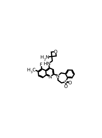 Cc1ccc2nc(N3CCS(=O)(=O)c4ccccc4C3)cc(NCC3(N)COC3)c2c1F